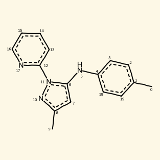 Cc1ccc(Nc2cc(C)nn2-c2ccccn2)cc1